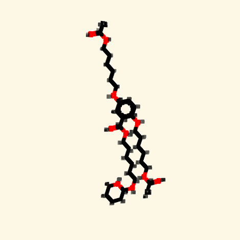 CCC(=O)OCCCCCCOc1ccc(OCCCCCCOC(=O)CC)c(C(=O)OCCCCCCOC2CCCCO2)c1